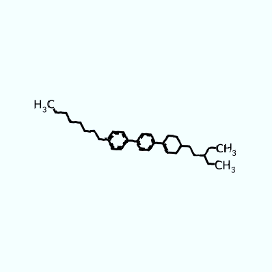 CCCCCCCCc1ccc(-c2ccc(C3=CCC(CCC(CC)CC)CC3)cc2)cc1